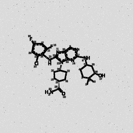 CC1(C)CCC(Nc2ncc3nc(Nc4c(F)cc(F)cc4Cl)n([C@H]4CC[C@@H](C(N)=O)CC4)c3n2)C[C@H]1O